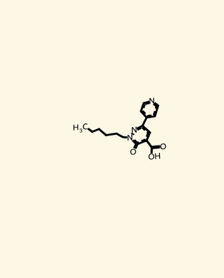 CCCCCCn1nc(-c2ccncc2)cc(C(=O)O)c1=O